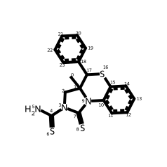 CC12CN(C(N)=S)C(=S)N1c1ccccc1SC2c1ccccc1